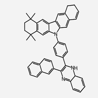 CC1(C)CCC(C)(C)c2cc3c(cc21)c1cc2c(cc1n3-c1ccc(C3=C(c4ccc5ccccc5c4)N=C4C=CC=CC4N3)cc1)C=CCC2